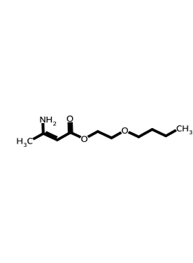 CCCCOCCOC(=O)C=C(C)N